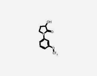 O=C1C(O)CCN1c1cccc(OC(F)(F)F)c1